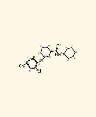 O=C(NC1CCCCC1)C1CCCC(Sc2ccc(Cl)cc2Cl)C1